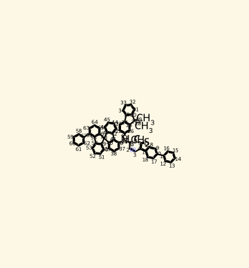 C=C(/C=C\c1c(C)sc2cc(-c3ccccc3)ccc12)N(c1ccc2c(c1)C(C)(C)c1ccccc1-2)c1cccc2c1-c1ccccc1C21c2ccccc2-c2c(-c3ccccc3)cccc21